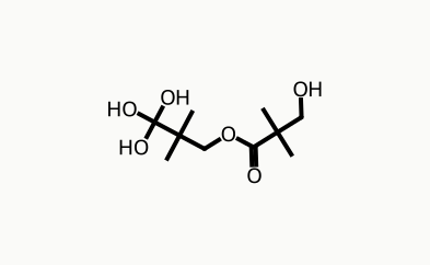 CC(C)(CO)C(=O)OCC(C)(C)C(O)(O)O